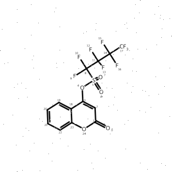 O=c1cc(OS(=O)(=O)C(F)(F)C(F)(F)C(F)(F)C(F)(F)F)c2ccccc2o1